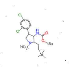 CC(C)(C)OC(=O)NC1C(c2ccc(Cl)cc2Cl)CN(C(=O)O)C1CC[Si](C)(C)C